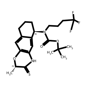 C[C@@H]1Oc2cc3c(cc2NC1=S)[C@H](N(CCCC(F)(F)F)C(=O)OC(C)(C)C)CCC3